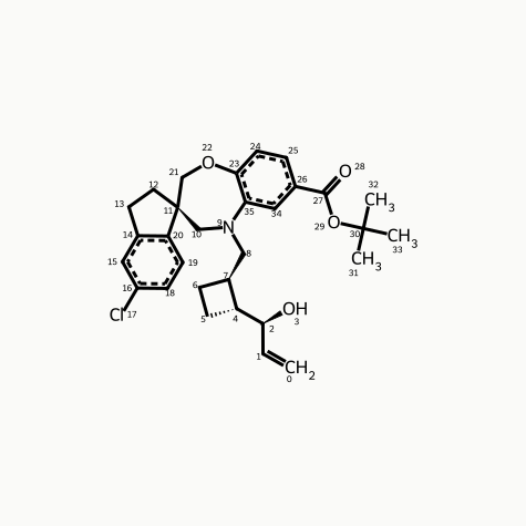 C=C[C@H](O)[C@@H]1CC[C@H]1CN1C[C@@]2(CCc3cc(Cl)ccc32)COc2ccc(C(=O)OC(C)(C)C)cc21